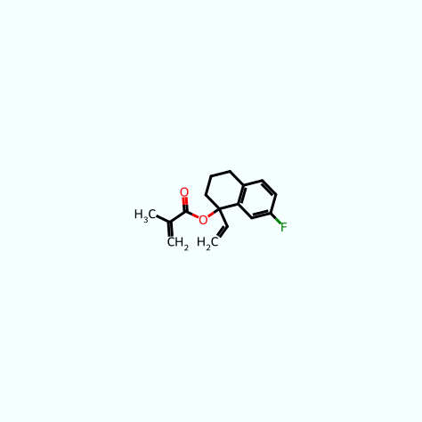 C=CC1(OC(=O)C(=C)C)CCCc2ccc(F)cc21